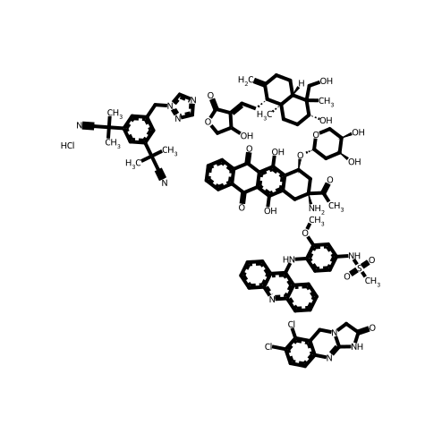 C=C1CC[C@@H]2C(C)(CO)[C@H](O)CC[C@@]2(C)[C@@H]1C/C=C1/C(=O)OCC1O.CC(=O)[C@]1(N)Cc2c(O)c3c(c(O)c2[C@@H](O[C@H]2C[C@H](O)[C@H](O)CO2)C1)C(=O)c1ccccc1C3=O.CC(C)(C#N)c1cc(Cn2cncn2)cc(C(C)(C)C#N)c1.COc1cc(NS(C)(=O)=O)ccc1Nc1c2ccccc2nc2ccccc12.Cl.O=C1CN2Cc3c(ccc(Cl)c3Cl)N=C2N1